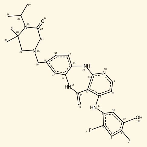 Cc1cc(F)c(Nc2ccnc3c2C(=O)Nc2cc(CN4CC(=O)N(C(C)C)C(C)(C)C4)ccc2N3)cc1O